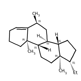 CC[C@H]1CC[C@H]2[C@@H]3C[C@H](C)C4=CCCC[C@]4(C)[C@H]3CC[C@]12C